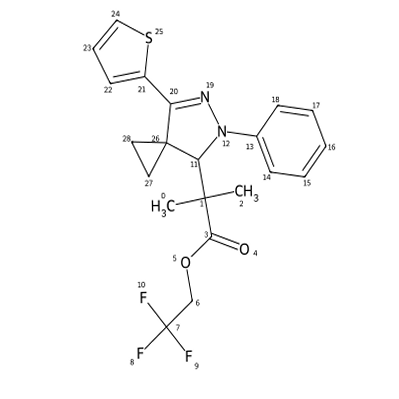 CC(C)(C(=O)OCC(F)(F)F)C1N(c2ccccc2)N=C(c2cccs2)C12CC2